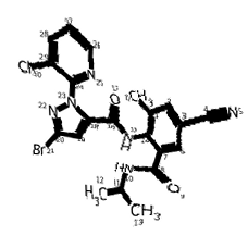 Cc1cc(C#N)cc(C(=O)NC(C)C)c1NC(=O)c1cc(Br)nn1-c1ncccc1Cl